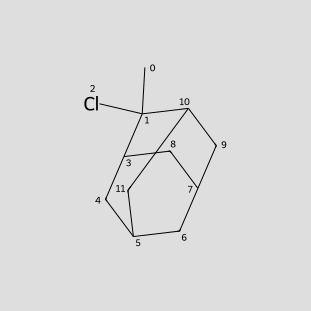 CC1(Cl)C2CC3CC(C2)CC1C3